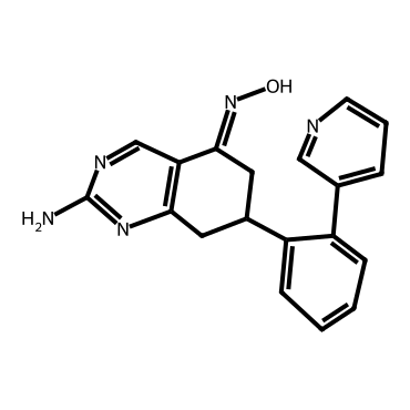 Nc1ncc2c(n1)CC(c1ccccc1-c1cccnc1)CC2=NO